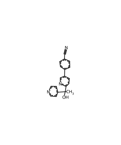 CC(O)(c1ccncc1)c1ccc(-c2ccc(C#N)cc2)cn1